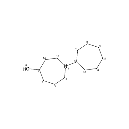 OC1CCCN(C2CCCCCC2)CC1